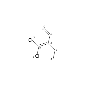 C=CC(CC)=C(Cl)Cl